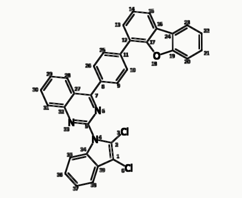 Clc1c(Cl)n(-c2nc(-c3ccc(-c4cccc5c4oc4ccccc45)cc3)c3ccccc3n2)c2ccccc12